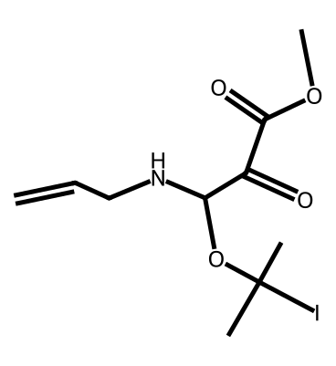 C=CCNC(OC(C)(C)I)C(=O)C(=O)OC